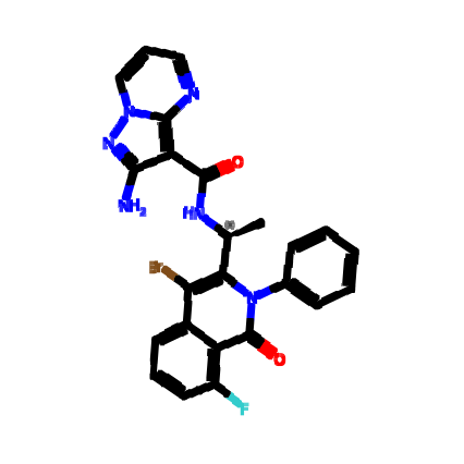 C[C@H](NC(=O)c1c(N)nn2cccnc12)c1c(Br)c2cccc(F)c2c(=O)n1-c1ccccc1